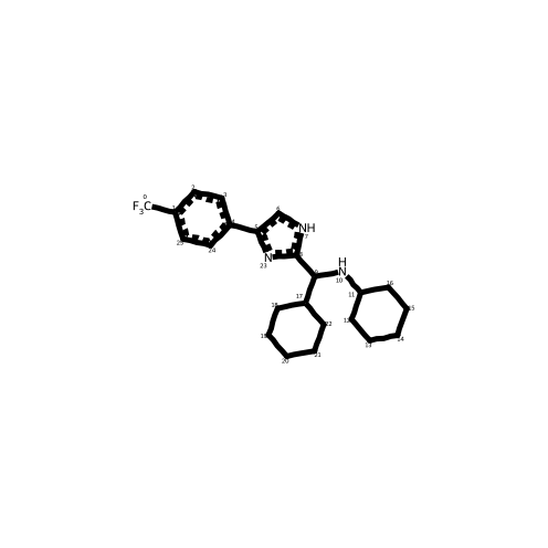 FC(F)(F)c1ccc(-c2c[nH]c(C(NC3CCCCC3)C3CCCCC3)n2)cc1